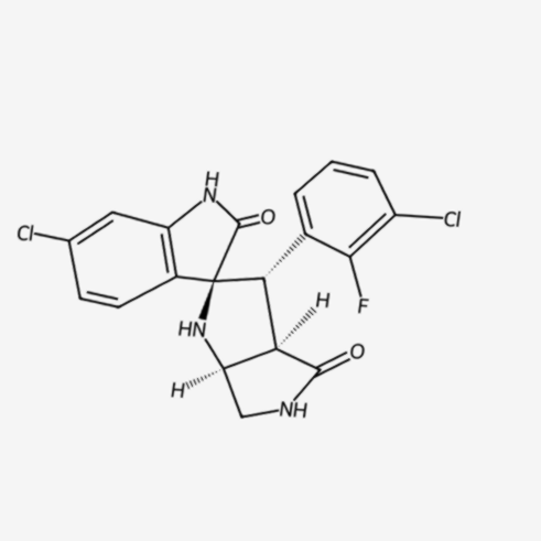 O=C1NC[C@H]2N[C@@]3(C(=O)Nc4cc(Cl)ccc43)[C@H](c3cccc(Cl)c3F)[C@@H]12